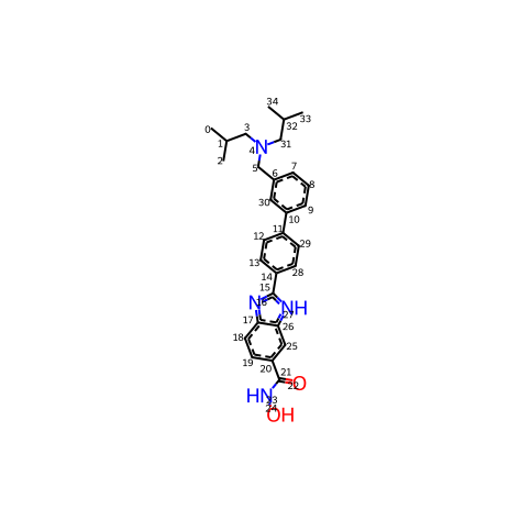 CC(C)CN(Cc1cccc(-c2ccc(-c3nc4ccc(C(=O)NO)cc4[nH]3)cc2)c1)CC(C)C